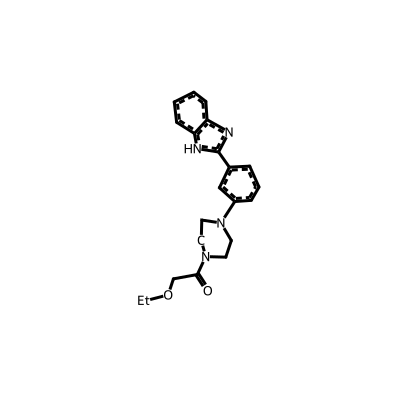 CCOCC(=O)N1CCN(c2cccc(-c3nc4ccccc4[nH]3)c2)CC1